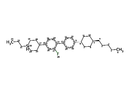 CCCCC[C@H]1CC[C@H](c2ccc(-c3ccc(C4CC[SiH](CCC)CC4)cc3F)cc2)CC1